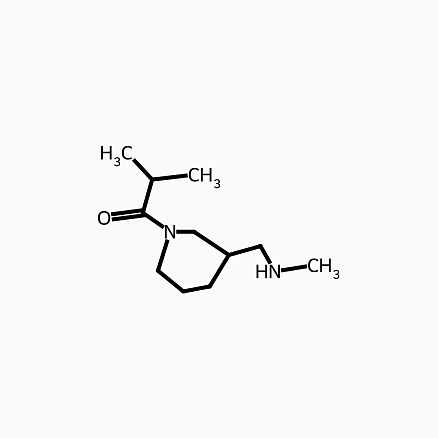 CNCC1CCCN(C(=O)C(C)C)C1